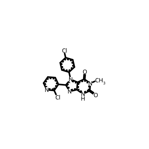 Cn1c(=O)[nH]c2nc(-c3cccnc3Cl)n(-c3ccc(Cl)cc3)c2c1=O